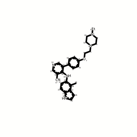 CCN1CCN(CCOc2ccc(-c3cncc(C#N)c3Nc3ccc4[nH]ccc4c3C)cc2)CC1